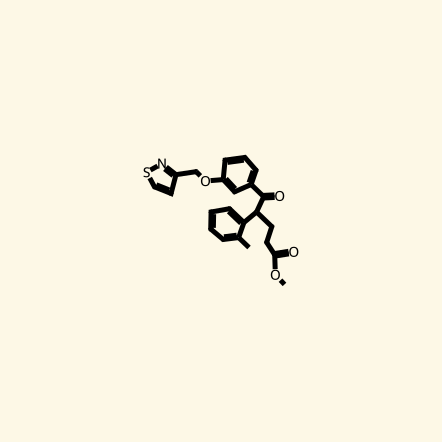 COC(=O)CCC(C(=O)c1cccc(OCc2ccsn2)c1)c1ccccc1C